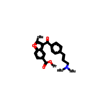 CCCCc1oc2ccc(C(=O)OC(C)C)cc2c1C(=O)c1ccc(C=CCN(CCCC)CCCC)cc1